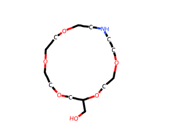 OCC1COCCOCCOCCNCCOCCO1